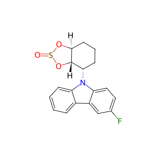 O=S1O[C@@H]2[C@H](CCC[C@@H]2n2c3ccccc3c3cc(F)ccc32)O1